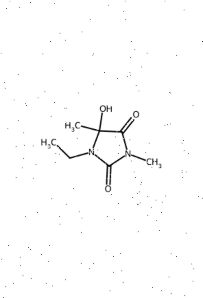 CCN1C(=O)N(C)C(=O)C1(C)O